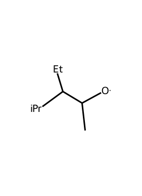 CCC(C(C)C)C(C)[O]